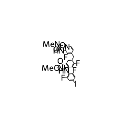 CNS(=O)(=O)Nc1nccc(Cc2cc(C(=O)NOC)c(Nc3ccc(I)cc3F)c(F)c2F)c1F